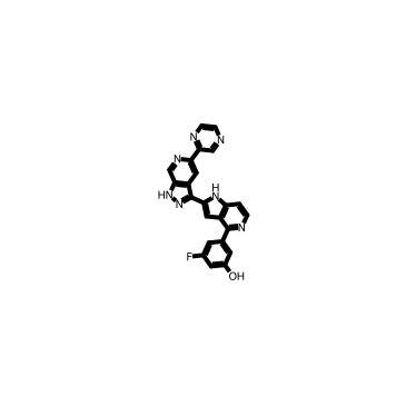 Oc1cc(F)cc(-c2nccc3[nH]c(-c4n[nH]c5cnc(-c6cnccn6)cc45)cc23)c1